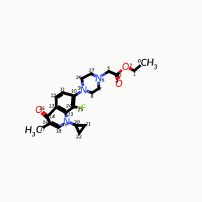 CCOC(=O)CN1CCN(c2ccc3c(=O)c(C)cn(C4CC4)c3c2F)CC1